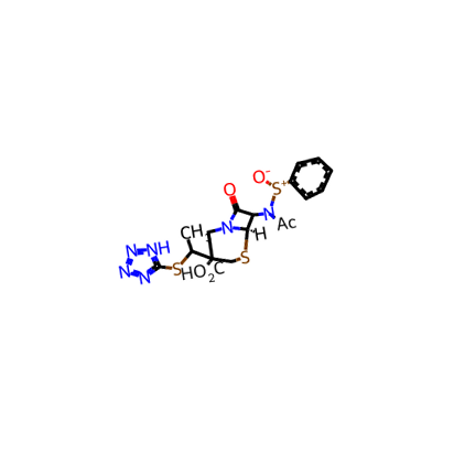 CC(=O)N(C1C(=O)N2CC(C(=O)O)(C(C)Sc3nnn[nH]3)CS[C@H]12)[S+]([O-])c1ccccc1